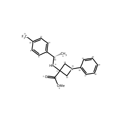 COC(=O)C1(N[C@@H](C)c2ccc(C(F)(F)F)cc2)CN(c2ccccc2)C1